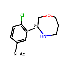 CC(=O)Nc1ccc(Cl)c([C@@H]2COCCCN2)c1